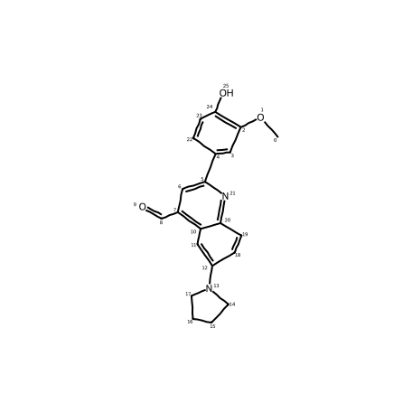 COc1cc(-c2cc(C=O)c3cc(N4CCCC4)ccc3n2)ccc1O